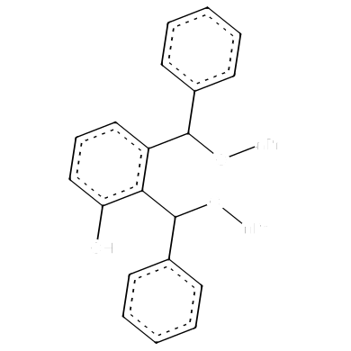 CCCOC(c1ccccc1)c1cccc(O)c1C(OCCC)c1ccccc1